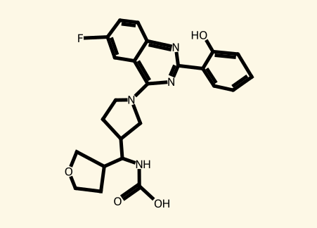 O=C(O)NC(C1CCOC1)C1CCN(c2nc(-c3ccccc3O)nc3ccc(F)cc23)C1